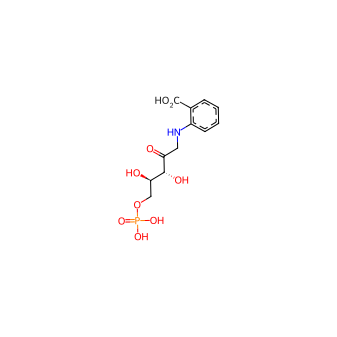 O=C(O)c1ccccc1NCC(=O)[C@H](O)[C@H](O)COP(=O)(O)O